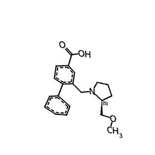 COC[C@@H]1CCCN1Cc1cc(C(=O)O)ccc1-c1ccccc1